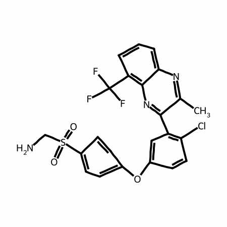 Cc1nc2cccc(C(F)(F)F)c2nc1-c1cc(Oc2ccc(S(=O)(=O)CN)cc2)ccc1Cl